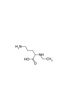 CCNC(CCCN)C(=O)O